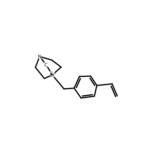 C=Cc1ccc(C[N+]23CCN(CC2)CC3)cc1